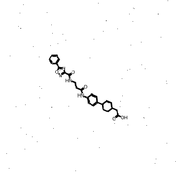 O=C(O)CC1CCC(c2ccc(NC(=O)CCNC(=O)c3noc(-c4ccccc4)n3)cc2)CC1